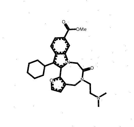 COC(=O)c1ccc2c(C3CCCCC3)c3n(c2c1)CC(=O)N(CCN(C)C)Cc1ccoc1-3